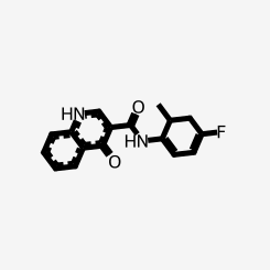 CC1CC(F)=CC=C1NC(=O)c1c[nH]c2ccccc2c1=O